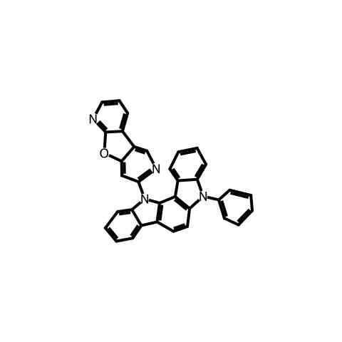 c1ccc(-n2c3ccccc3c3c2ccc2c4ccccc4n(-c4cc5oc6ncccc6c5cn4)c23)cc1